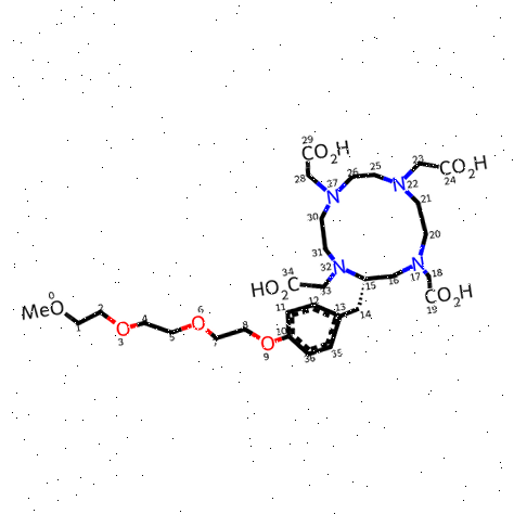 COCCOCCOCCOc1ccc(C[C@H]2CN(CC(=O)O)CCN(CC(=O)O)CCN(CC(=O)O)CCN2CC(=O)O)cc1